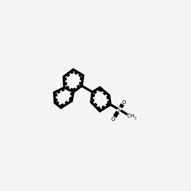 CS(=O)(=O)c1ccc(-c2cccc3ccccc23)cc1